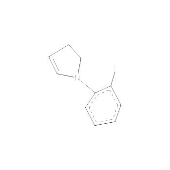 Fc1ccccc1N1C=CCC1